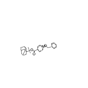 CC(C)(OC(=O)c1cc[n+](OCc2ccccc2)cc1)C12CC3CC(CC(C3)C1)C2